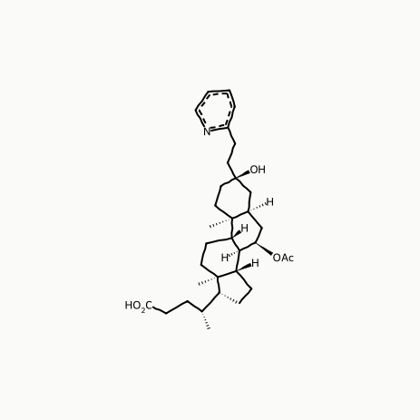 CC(=O)O[C@@H]1C[C@@H]2C[C@@](O)(CCc3ccccn3)CC[C@]2(C)[C@H]2CC[C@]3(C)[C@@H]([C@H](C)CCC(=O)O)CC[C@H]3[C@H]12